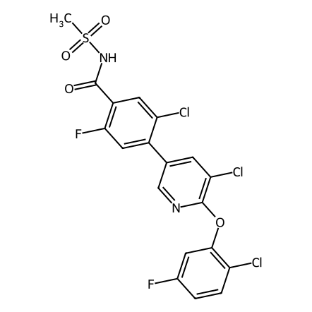 CS(=O)(=O)NC(=O)c1cc(Cl)c(-c2cnc(Oc3cc(F)ccc3Cl)c(Cl)c2)cc1F